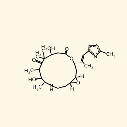 CC(=Cc1csc(C)n1)[C@@H]1C[C@@H]2O[C@@H]2CCN[C@@H](C)[C@@H](O)C(C)C(=O)C(C)(C)[C@@H](O)CC(=O)O1